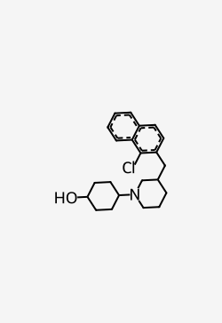 OC1CCC(N2CCCC(Cc3ccc4ccccc4c3Cl)C2)CC1